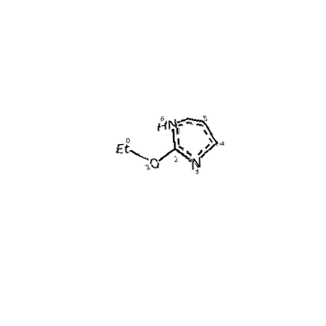 CCOc1n[c]c[nH]1